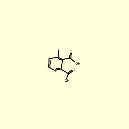 O=C(O)c1nccc(F)c1C(=O)O